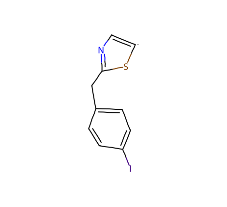 Ic1ccc(Cc2nc[c]s2)cc1